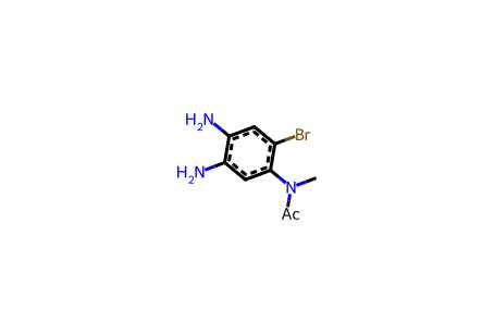 CC(=O)N(C)c1cc(N)c(N)cc1Br